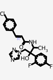 CC(NC(=O)/C=C/c1ccc(Cl)cc1)C(O)(Cn1cncn1)c1ccc(F)cc1F